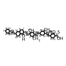 Cc1cc(N=Nc2ccc3cc(NOc4ccccc4)ccc3c2O)c(C)cc1N=Nc1ccc(N=Nc2ccc(CO)cc2S(=O)(=O)O)c(C)c1